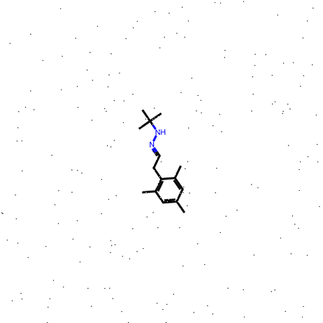 Cc1cc(C)c(CC=NNC(C)(C)C)c(C)c1